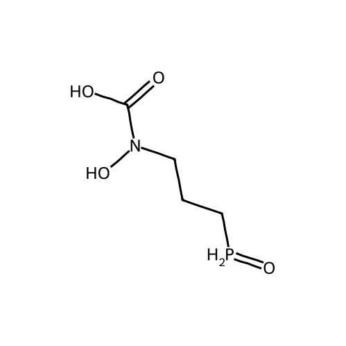 O=[PH2]CCCN(O)C(=O)O